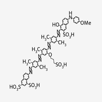 COc1ccc(Nc2ccc3c(O)c(N=Nc4cc(C)c(N=Nc5cc(C)c(N=Nc6cc(C)c(N=Nc7ccc8cc(S(=O)(=O)O)cc(S(=O)(=O)O)c8c7)cc6C)cc5OCCCS(=O)(=O)O)cc4C)c(S(=O)(=O)O)cc3c2)cc1